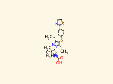 CCc1nn(C(CNC(=O)O)C(C)(C)C)c(CC)c1Sc1ccc(-c2nccs2)cc1